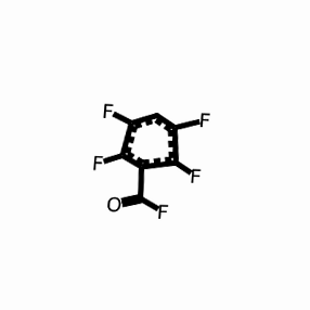 O=C(F)c1c(F)c(F)cc(F)c1F